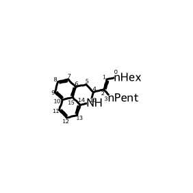 CCCCCCC=C(CCCCC)C1Cc2cccc3cccc(c23)N1